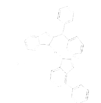 CC1=Cc2c(-c3ccccc3)cccc2[CH]1[Hf+2][CH]1C(P(c2ccccc2)c2ccccc2)=Cc2ccccc21.[Cl-].[Cl-]